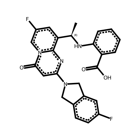 C[C@@H](Nc1ccccc1C(=O)O)c1cc(F)cn2c(=O)cc(N3Cc4ccc(F)cc4C3)nc12